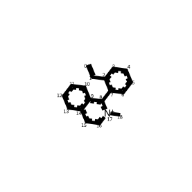 C=Cc1ccccc1-c1c2ccccc2cc[n+]1C